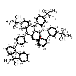 Cc1cc2c3c(c1)N(c1ccc(C(C)(C)C)cc1-c1ccccc1)c1cc(C(C)(C)C)ccc1B3c1ccc(C(C)(C)C)cc1N2c1ccc(-c2cccc3c2-c2ccccc2C3(C)C)cc1